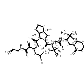 C=CCNC(=O)C(=O)[C@H](CC(F)F)NC(=O)[C@@H]1[C@H]2CCC[C@H]2CN1C(=O)[C@@H](NC(=O)N[C@H](CN1CCCCC1=O)C(C)(C)C)C(C)(C)C